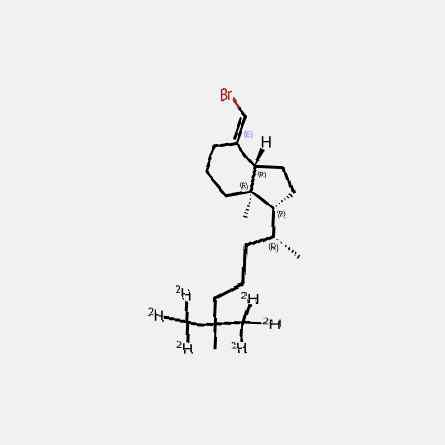 [2H]C([2H])([2H])C(C)(CCC[C@@H](C)[C@H]1CC[C@H]2/C(=C/Br)CCC[C@]12C)C([2H])([2H])[2H]